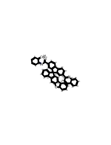 C=C1C=CC=C/C1=N/C(=C)c1ccc2c(c1)C1(c3ccccc3-c3cc4oc5ccc#cc5c4cc31)c1cc(-c3ccc4ccccc4n3)ccc1-2